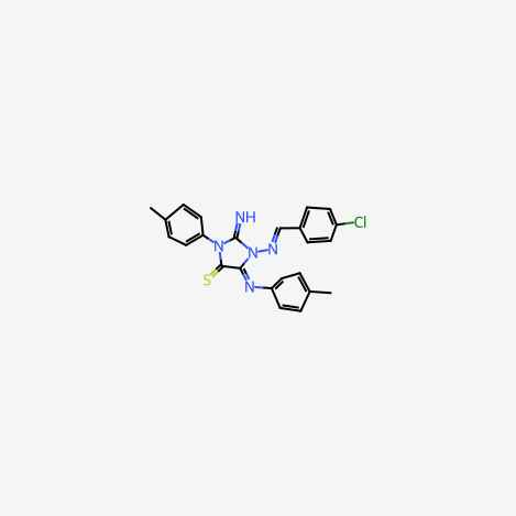 Cc1ccc(N=C2C(=S)N(c3ccc(C)cc3)C(=N)N2N=Cc2ccc(Cl)cc2)cc1